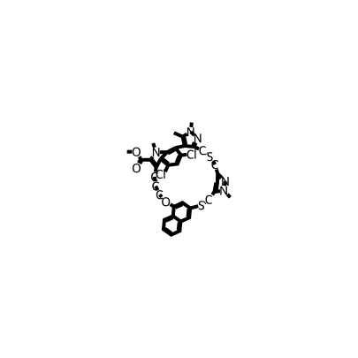 COC(=O)c1c2c3c(Cl)cc(Cl)c(c3n1C)-c1c(nn(C)c1C)CSCc1cc(n(C)n1)CSc1cc(c3ccccc3c1)OCCC2